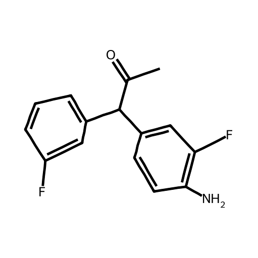 CC(=O)C(c1cccc(F)c1)c1ccc(N)c(F)c1